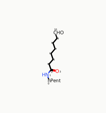 CCCCCNC(=O)CCCCCCC=O